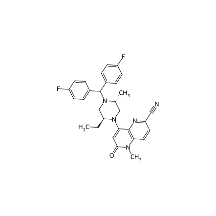 CC[C@H]1CN(C(c2ccc(F)cc2)c2ccc(F)cc2)[C@H](C)CN1c1cc(=O)n(C)c2ccc(C#N)nc12